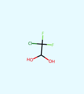 OC(O)C(F)(F)Cl